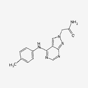 Cc1ccc(Nc2ncnc3nn(CC(N)=O)cc23)cc1